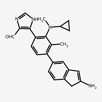 Cc1c(-c2ccc3c(c2)C=C(N)C3)ccc(-c2[nH]cnc2C=O)c1N(C)C1CC1